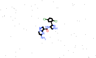 Nc1ccn2ncc(C(=O)Nc3c[nH]nc3-c3cc(Cl)ccc3Cl)c2n1